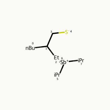 CCCCC(CC)C[S-].C[CH](C)[Sb+][CH](C)C